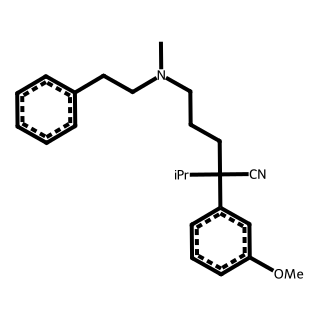 COc1cccc(C(C#N)(CCCN(C)CCc2ccccc2)C(C)C)c1